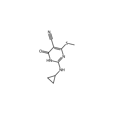 CSc1nc(NC2CC2)[nH]c(=O)c1C#N